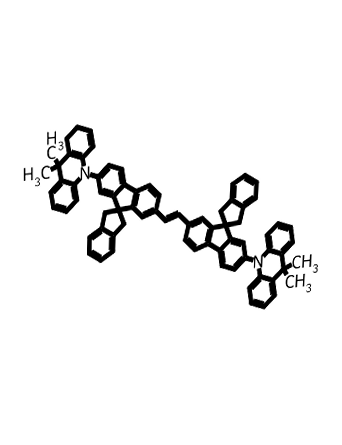 CC1(C)C2=C(C=CCC2)N(c2ccc3c(c2)C2(Cc4ccccc4C2)c2cc(/C=C/c4ccc5c(c4)C4(Cc6ccccc6C4)c4cc(N6c7ccccc7C(C)(C)c7ccccc76)ccc4-5)ccc2-3)c2ccccc21